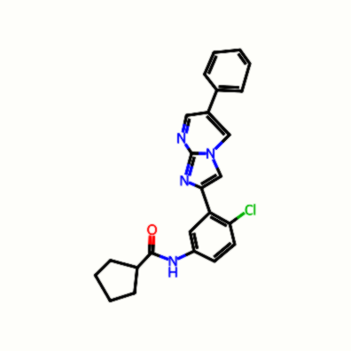 O=C(Nc1ccc(Cl)c(-c2cn3cc(-c4ccccc4)cnc3n2)c1)C1CCCC1